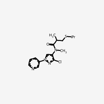 CC(C)SCC(C)C(=O)N(C)c1cn(-c2cccnc2)nc1Cl